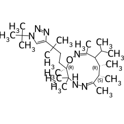 CC1=NO[C@](C)(CCC(C)(C)c2cn(C(C)(C)C)nn2)C(C)(C)NN=C(C)[C@@H](C)[C@@H](C)C1C(C)C